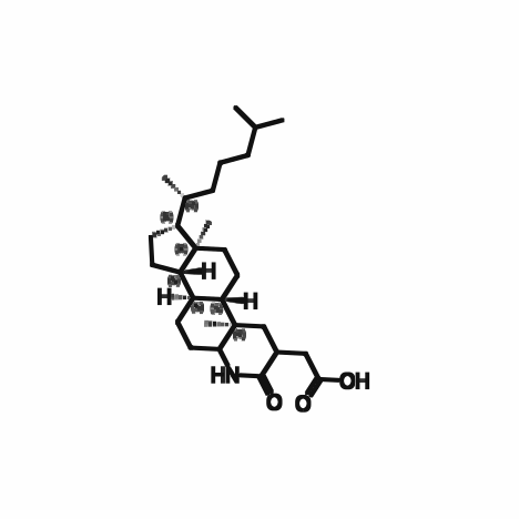 CC(C)CCC[C@@H](C)[C@H]1CC[C@H]2[C@@H]3CCC4NC(=O)C(CC(=O)O)C[C@]4(C)[C@H]3CC[C@]12C